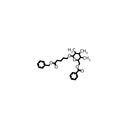 CC1C(COC(=O)c2ccccc2)OC(OCCCCC(=O)OCc2ccccc2)C(C)C1C